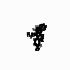 Cn1c2c(c(=O)n1-c1ccc(Cl)cc1Cl)[C@H]1CC[C@@]23CC13C